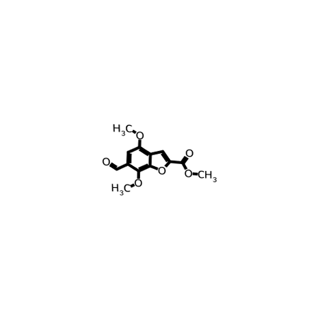 COC(=O)c1cc2c(OC)cc(C=O)c(OC)c2o1